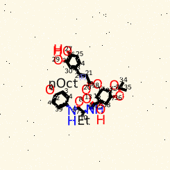 CCCCCCCCOc1ccc(NC(=O)C(CC)NC(=O)C2(O)CC(OC(=O)/C=C/c3ccc(O)c(O)c3)C3OC(C)(C)OC3C2)cc1